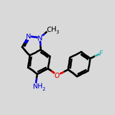 Cn1ncc2cc(N)c(Oc3ccc(F)cc3)cc21